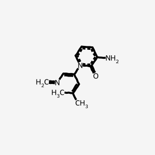 C=N/C=C(\C=C(C)C)n1cccc(N)c1=O